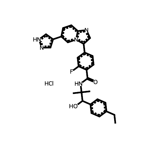 CCc1ccc(C(O)C(C)(C)NC(=O)c2ccc(-c3cnc4ccc(-c5cn[nH]c5)cn34)cc2F)cc1.Cl